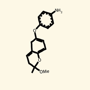 COC1(C)CC=C2CC(Oc3ccc(N)cc3)=CC=C2O1